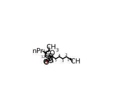 C#CCCCCC12OC(C)C(CCC)(CS1(=O)=O)CS2(=O)=O